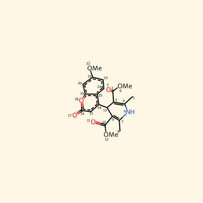 COC(=O)C1=C(C)NC(C)=C(C(=O)OC)C1c1cc(=O)oc2cc(OC)ccc12